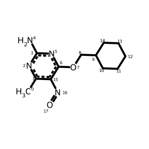 Cc1nc(N)nc(OCC2CCCCC2)c1N=O